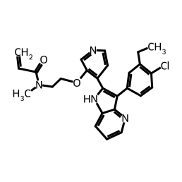 C=CC(=O)N(C)CCOc1cnccc1-c1[nH]c2cccnc2c1-c1ccc(Cl)c(CC)c1